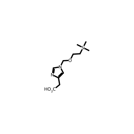 C[Si](C)(C)CCOCn1cnc(CC(=O)O)c1